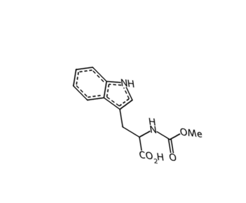 COC(=O)NC(Cc1c[nH]c2ccccc12)C(=O)O